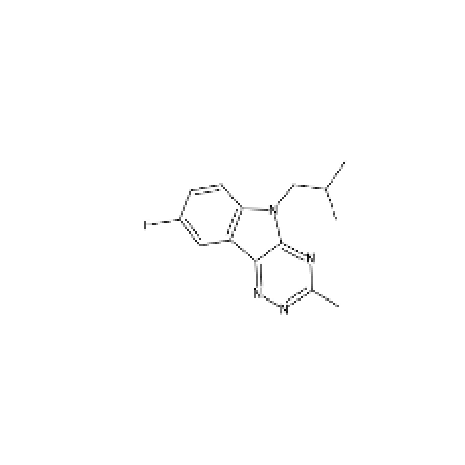 Cc1nnc2c3cc(F)ccc3n(CC(C)C)c2n1